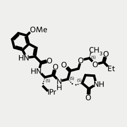 CCC(=O)O[C@@H](C)OCC(=O)[C@H](C[C@@H]1CCNC1=O)NC(=O)[C@H](CC(C)C)NC(=O)c1cc2c(OC)cccc2[nH]1